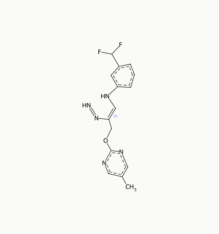 Cc1cnc(OC/C(=C/Nc2cccc(C(F)F)c2)N=N)nc1